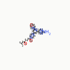 CC(C)=CC(=O)CCCC(=O)N1CCN(c2cc(-c3cnc(N)nc3)nc(N3CCOCC3)c2)CC1